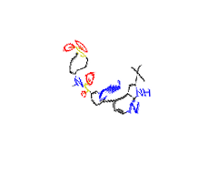 CN(C1CCS(=O)(=O)CC1)S(=O)(=O)c1ccc(-c2ccnc3c2CC(C(C)(C)C)N3)nc1